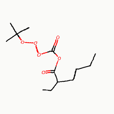 CCCCC(CC)C(=O)OC(=O)OOOC(C)(C)C